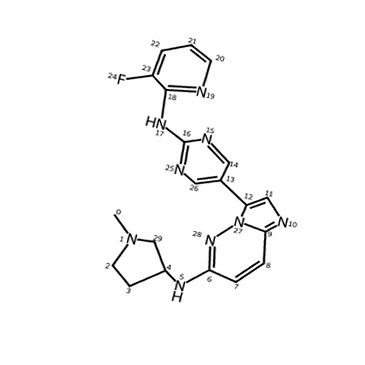 CN1CCC(Nc2ccc3ncc(-c4cnc(Nc5ncccc5F)nc4)n3n2)C1